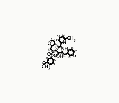 COc1cccc(S(=O)(=O)N(CC2CCCO2)CC(O)C(Cc2ccccc2)NC(=O)c2cccc(C)n2)c1